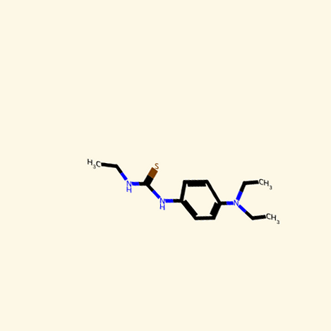 CCNC(=S)Nc1ccc(N(CC)CC)cc1